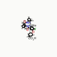 COc1cc(F)c(OC2CCC(C)(C(=O)O)CC2)cc1C(=O)N[C@@H]1[C@H]2CC[C@H](C2)[C@@H]1C(=O)N[C@@H]1CCCC1(C)C